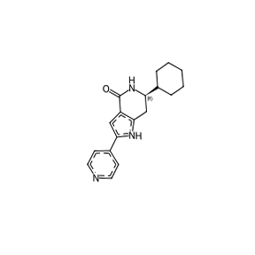 O=C1N[C@@H](C2CCCCC2)Cc2[nH]c(-c3ccncc3)cc21